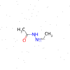 C/[C]=N\NC(C)=O